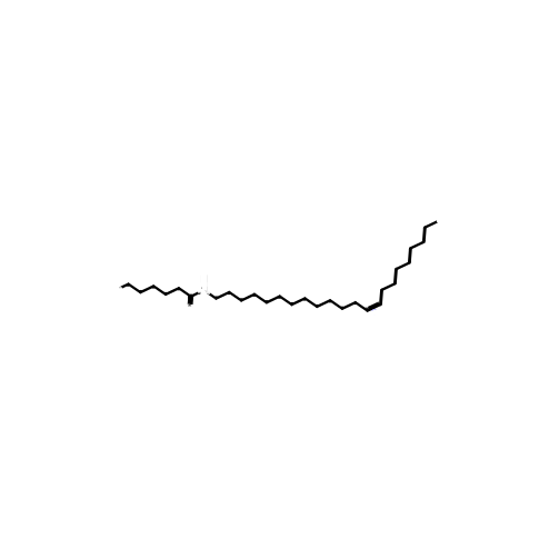 CCCCCCCC/C=C\CCCCCCCCCCCCNC(=O)CCCCCO